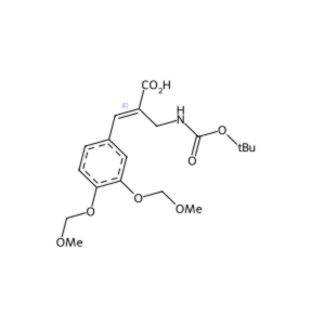 COCOc1ccc(/C=C(\CNC(=O)OC(C)(C)C)C(=O)O)cc1OCOC